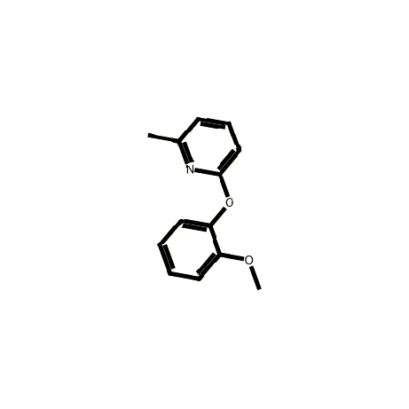 COc1ccccc1Oc1cccc(C)n1